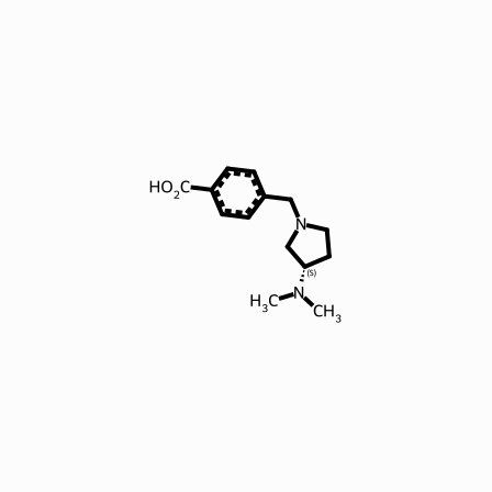 CN(C)[C@H]1CCN(Cc2ccc(C(=O)O)cc2)C1